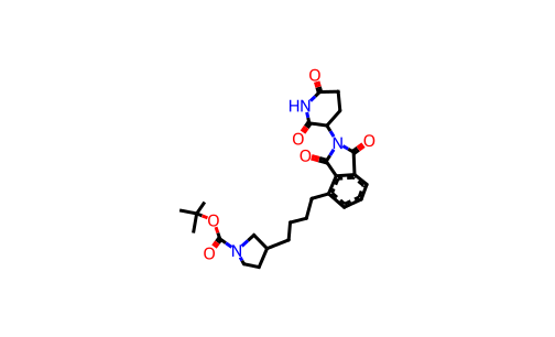 CC(C)(C)OC(=O)N1CCC(CCCCc2cccc3c2C(=O)N(C2CCC(=O)NC2=O)C3=O)C1